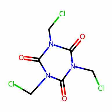 O=c1n(CCl)c(=O)n(CCl)c(=O)n1CCl